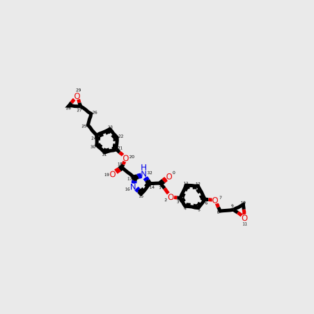 O=C(Oc1ccc(OCC2CO2)cc1)c1cnc(C(=O)Oc2ccc(CCC3CO3)cc2)[nH]1